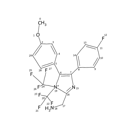 COc1ccc(C2=C(c3ccc(F)cc3)N=C(CN)[N+]2(C(F)(F)F)C(F)(F)F)cc1